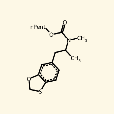 CCCCCOC(=O)N(C)C(C)Cc1ccc2c(c1)OCS2